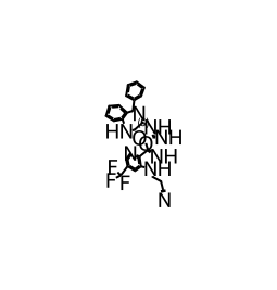 N#CCCNc1cc(C(F)(F)F)cnc1C(=N)OC(=N)N[C@H]1N=C(c2ccccc2)c2ccccc2NC1=O